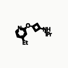 CCc1ccnc(O[C@H]2C[C@H](NC(C)C)C2)c1